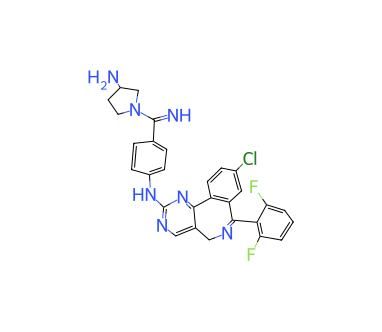 N=C(c1ccc(Nc2ncc3c(n2)-c2ccc(Cl)cc2C(c2c(F)cccc2F)=NC3)cc1)N1CCC(N)C1